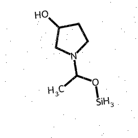 CC(O[SiH3])N1CCC(O)C1